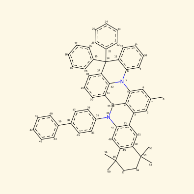 Cc1cc2c3c(c1)N1c4ccccc4C(c4ccccc4)(c4ccccc4)c4cccc(c41)B3N(c1ccc(-c3ccccc3)cc1)c1cc3c(cc1-2)C(C)(C)CCC3(C)C